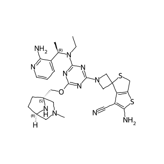 CCN(c1nc(OC[C@]23CC[C@H](CN(C)C2)N3)nc(N2CC3(C2)SCc2sc(N)c(C#N)c23)n1)[C@H](C)c1cccnc1N